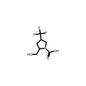 O=C(O)N1CC(C(F)(F)F)CC1CO